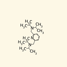 CC(C)N(Cc1cccc(CN(C(C)C)C(C)C)n1)C(C)C